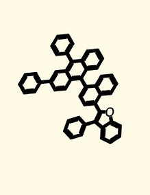 c1ccc(-c2ccc3c(-c4ccc(-c5oc6ccccc6c5-c5ccccc5)c5ccccc45)c4ccccc4c(-c4ccccc4)c3c2)cc1